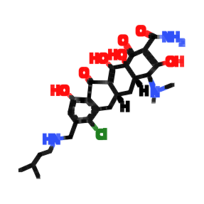 CC(C)CCNCc1cc(O)c2c(c1Cl)C[C@H]1C[C@H]3[C@H](N(C)C)C(O)=C(C(N)=O)C(=O)[C@@]3(O)C(O)=C1C2=O